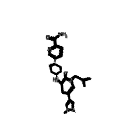 CC(C)Cn1cc(-c2cnn(C)c2)cc(N[C@H]2CC[C@@H](c3ccc(C(N)=O)nc3)CC2)c1=O